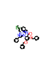 C=CCCCn1nc(-c2ccccc2)cc1Nc1cc(OCc2ccccc2)cc(OCc2ccccc2)c1C(=O)n1cc2ccc(Br)cc2c1